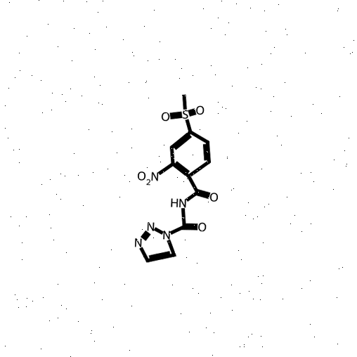 CS(=O)(=O)c1ccc(C(=O)NC(=O)n2ccnn2)c([N+](=O)[O-])c1